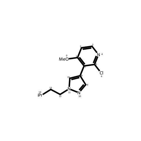 COc1ccnc(Cl)c1-c1cnn(CCC(C)C)c1